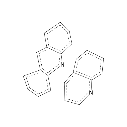 c1ccc2nc3ccccc3cc2c1.c1ccc2ncccc2c1